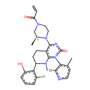 C=CC(=O)N1CCN(c2nc(=O)n(-c3c(C)ccnc3CC)c3c2CCC(c2c(O)cccc2F)N3C)[C@@H](C)C1